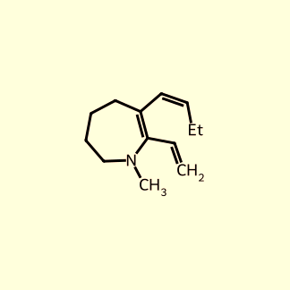 C=CC1=C(/C=C\CC)CCCCN1C